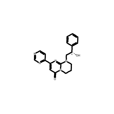 O=c1cc(-c2ccncn2)nc2n1CCCN2C[C@@H](O)c1ccccc1